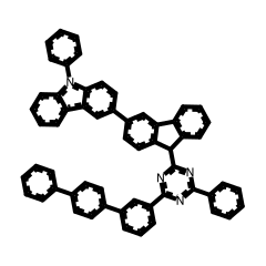 c1ccc(-c2ccc(-c3cccc(-c4nc(-c5ccccc5)nc(C5c6ccccc6-c6cc(-c7ccc8c(c7)c7ccccc7n8-c7ccccc7)ccc65)n4)c3)cc2)cc1